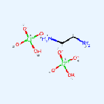 NCCN.[O-][Cl+3]([O-])([O-])O.[O-][Cl+3]([O-])([O-])O